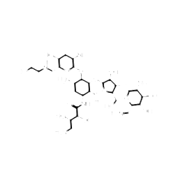 NC[C@@H](O)[C@H](O)C(=O)N[C@@H]1C[C@H](N)[C@@H](O[C@H]2O[C@H](CNCCO)[C@@H](O)C[C@H]2N)[C@H](O[C@@H]2O[C@H](CO)[C@@H](O[C@H]3O[C@@H](CN)[C@@H](O)[C@H](O)[C@H]3N)[C@H]2O)[C@H]1O